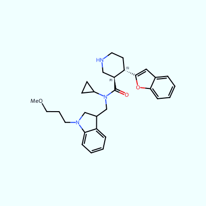 COCCCN1CC(CN(C(=O)[C@H]2CNCC[C@@H]2c2cc3ccccc3o2)C2CC2)c2ccccc21